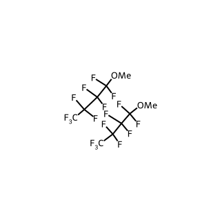 COC(F)(F)C(F)(F)C(F)(F)C(F)(F)F.COC(F)(F)C(F)(F)C(F)(F)C(F)(F)F